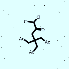 CC(=O)CC(CC(C)=O)(CC(C)=O)CC(=O)C(Cl)Cl